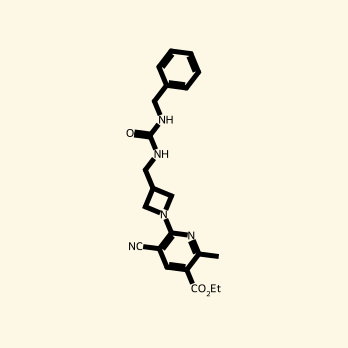 CCOC(=O)c1cc(C#N)c(N2CC(CNC(=O)NCc3ccccc3)C2)nc1C